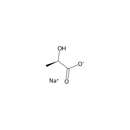 C[C@@H](O)C(=O)[O-].[Na+]